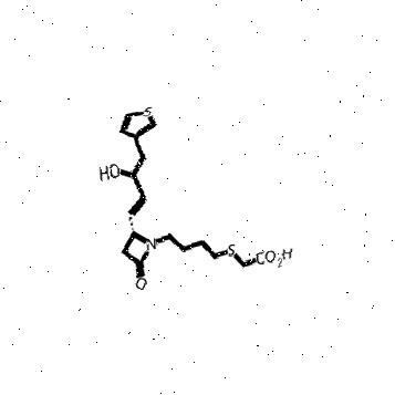 O=C(O)CSCCCCN1C(=O)C[C@@H]1/C=C/C(O)Cc1ccsc1